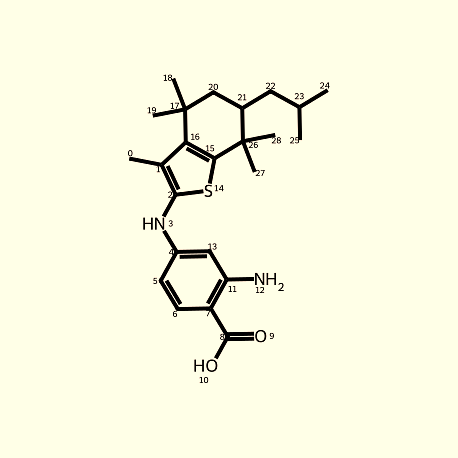 Cc1c(Nc2ccc(C(=O)O)c(N)c2)sc2c1C(C)(C)CC(CC(C)C)C2(C)C